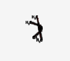 CCCCCCCCCCCCN(CCCCCCCCCCCC)c1ccc2c(c1)O/C(=C1\Oc3cc(N(CCCCCCCCCCCC)CCCCCCCCCCCC)ccc3C1=O)C2=O